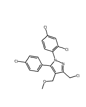 COCc1c(CCl)nn(-c2ccc(Cl)cc2Cl)c1-c1ccc(Cl)cc1